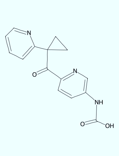 O=C(O)Nc1ccc(C(=O)C2(c3ccccn3)CC2)nc1